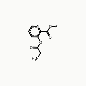 NCC(=O)Oc1cccnc1C(=O)OF